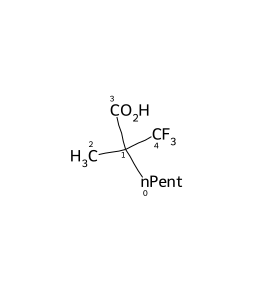 CCCCCC(C)(C(=O)O)C(F)(F)F